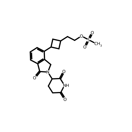 CS(=O)(=O)OCCC1CC(c2cccc3c2CN(C2CCC(=O)NC2=O)C3=O)C1